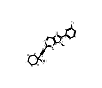 Cn1c(-c2cccc(F)c2)nc2cnc(C#CC3(O)CCCCC3)nc21